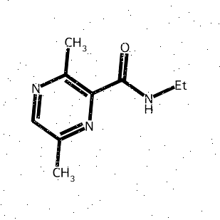 CCNC(=O)c1nc(C)cnc1C